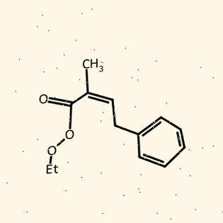 CCOOC(=O)C(C)=CCc1ccccc1